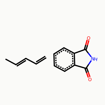 C=CC=CC.O=C1NC(=O)c2ccccc21